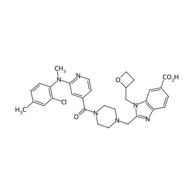 Cc1ccc(N(C)c2cc(C(=O)N3CCN(Cc4nc5ccc(C(=O)O)cc5n4CC4CCO4)CC3)ccn2)c(Cl)c1